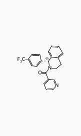 O=C(c1cccnc1)N1CCc2ccccc2[C@H]1c1ccc(C(F)(F)F)cc1